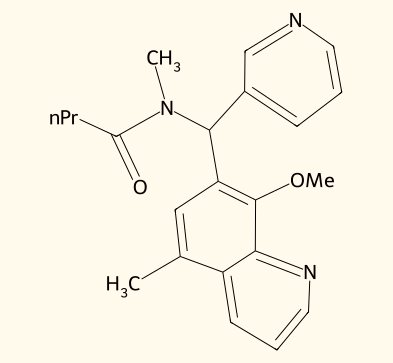 CCCC(=O)N(C)C(c1cccnc1)c1cc(C)c2cccnc2c1OC